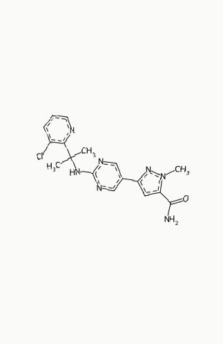 Cn1nc(-c2cnc(NC(C)(C)c3ncccc3Cl)nc2)cc1C(N)=O